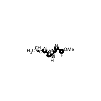 COc1cc(F)cc(-c2cncc3[nH]c(-c4n[nH]c5ccc(-c6cncc(OCCN(C)C)c6)nc45)cc23)c1